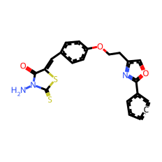 NN1C(=O)/C(=C/c2ccc(OCCc3coc(-c4ccccc4)n3)cc2)SC1=S